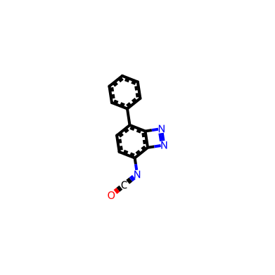 O=C=Nc1ccc(-c2ccccc2)c2c1N=N2